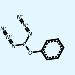 [N-]=[N+]=NP(N=[N+]=[N-])Oc1ccccc1